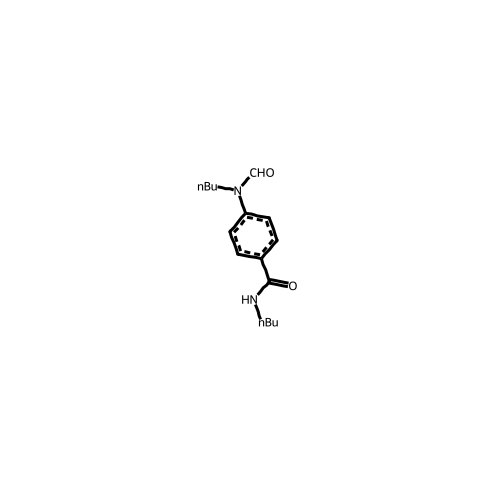 CCCCNC(=O)c1ccc(N(C=O)CCCC)cc1